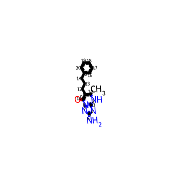 Cc1[nH]c2nc(N)nn2c(=O)c1CCCc1ccccc1